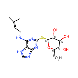 CC(C)=CCNc1nc(S[C@@H]2O[C@H](C(=O)O)[C@@H](O)[C@H](O)[C@H]2O)nc2nc[nH]c12